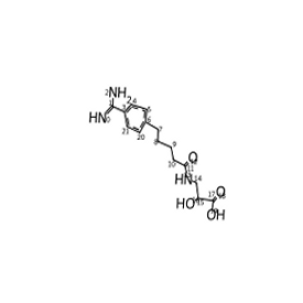 N=C(N)c1ccc(CCCCC(=O)NCC(O)C(=O)O)cc1